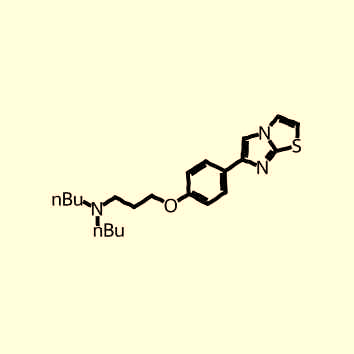 CCCCN(CCCC)CCCOc1ccc(-c2cn3ccsc3n2)cc1